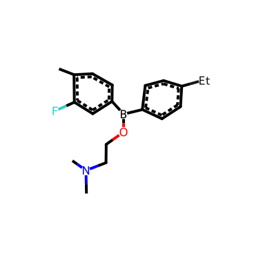 CCc1ccc(B(OCCN(C)C)c2ccc(C)c(F)c2)cc1